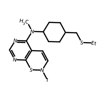 CCSCC1CCC(N(C)c2ncnc3c2C=CN(I)S3)CC1